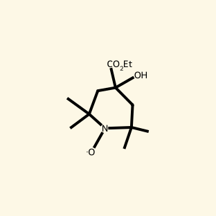 CCOC(=O)C1(O)CC(C)(C)N([O])C(C)(C)C1